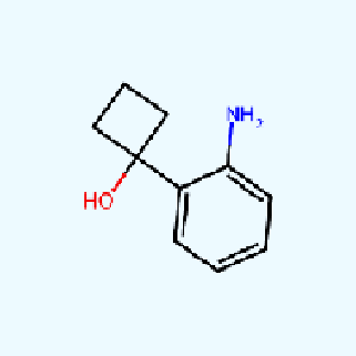 Nc1ccccc1C1(O)CCC1